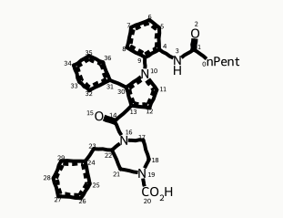 CCCCCC(=O)Nc1ccccc1-n1ccc(C(=O)N2CCN(C(=O)O)CC2Cc2ccccc2)c1-c1ccccc1